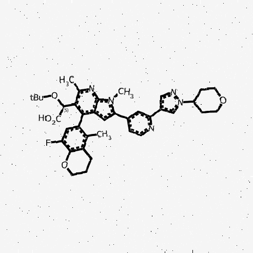 Cc1nc2c(cc(-c3ccnc(-c4cnn(C5CCOCC5)c4)c3)n2C)c(-c2cc(F)c3c(c2C)CCCO3)c1[C@H](OC(C)(C)C)C(=O)O